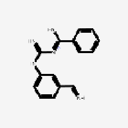 N=Cc1cccc(NC(=N)/N=C(\S)c2ccccc2)c1